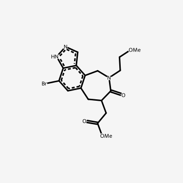 COCCN1Cc2c(cc(Br)c3[nH]ncc23)CC(CC(=O)OC)C1=O